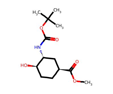 COC(=O)[C@H]1CC[C@@H](O)[C@H](NC(=O)OC(C)(C)C)C1